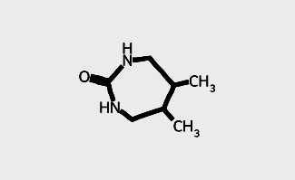 CC1CNC(=O)NCC1C